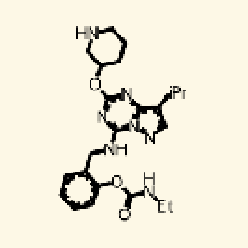 CCNC(=O)Oc1ccccc1CNc1nc(OC2CCCNC2)nc2c(C(C)C)cnn12